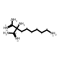 N=C(N)C(N)(CCCCCCN)C(=N)N